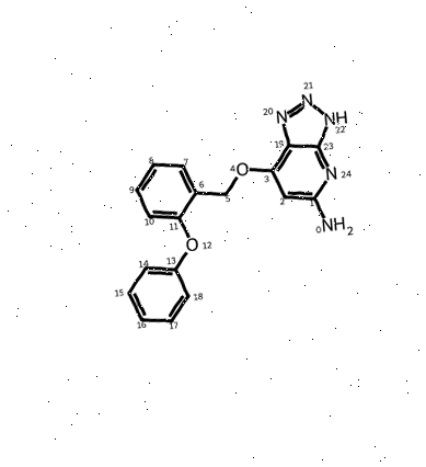 Nc1cc(OCc2ccccc2Oc2ccccc2)c2nn[nH]c2n1